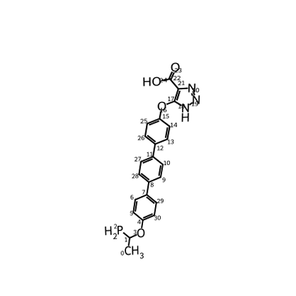 CC(P)Oc1ccc(-c2ccc(-c3ccc(Oc4[nH]nnc4C(=O)O)cc3)cc2)cc1